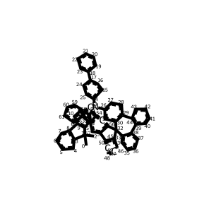 CC1(C)c2ccccc2-c2ccc(N(c3ccc(-c4ccccc4)cc3)c3ccc4c(c3)C3(c5ccccc5-c5ccccc5-4)c4ccccc4-c4cc5c(cc43)oc3ccccc35)cc21